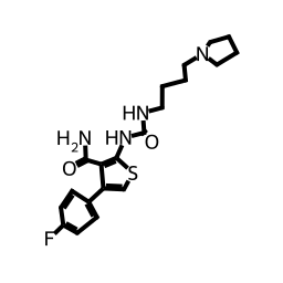 NC(=O)c1c(-c2ccc(F)cc2)csc1NC(=O)NCCCCN1CCCC1